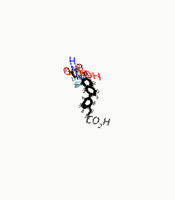 O=C(O)CCc1cccc(-c2ccc3cc(O)c(N4CC(=O)NS4(=O)=O)c(F)c3c2)c1